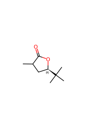 CC1C[C@H](C(C)(C)C)OC1=O